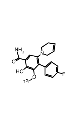 CCCOc1c(O)c(C(N)=O)cc(N2CC=CCC2)c1-c1ccc(F)cc1